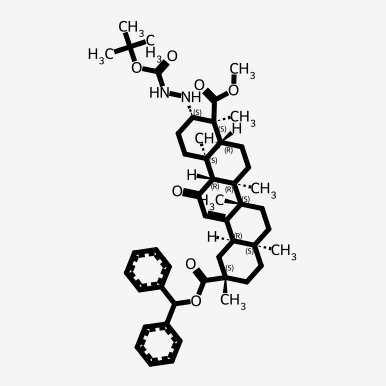 COC(=O)[C@]1(C)[C@@H](NNC(=O)OC(C)(C)C)CC[C@@]2(C)[C@H]1CC[C@]1(C)[C@@H]2C(=O)C=C2[C@@H]3C[C@@](C)(C(=O)OC(c4ccccc4)c4ccccc4)CC[C@]3(C)CC[C@]21C